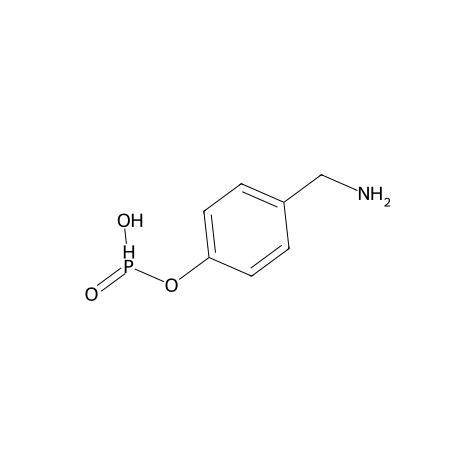 NCc1ccc(O[PH](=O)O)cc1